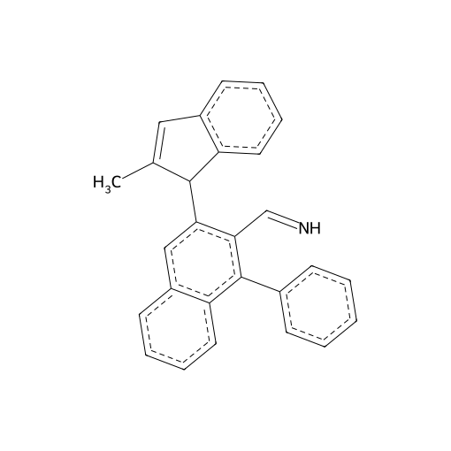 CC1=Cc2ccccc2C1c1cc2ccccc2c(-c2ccccc2)c1C=N